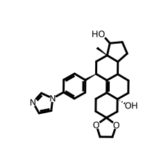 C[C@]12C[C@H](c3ccc(-n4ccnc4)cc3)C3=C4CCC5(C[C@]4(O)CCC3C1CCC2O)OCCO5